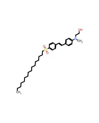 CCCCCCCCCCCCCCCCS(=O)(=O)c1ccc(C=Cc2ccc(N(C)CCO)cc2)cc1